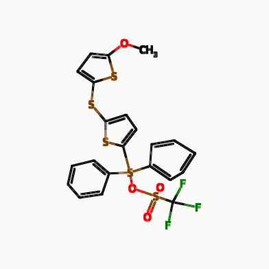 COc1ccc(Sc2ccc(S(OS(=O)(=O)C(F)(F)F)(c3ccccc3)c3ccccc3)s2)s1